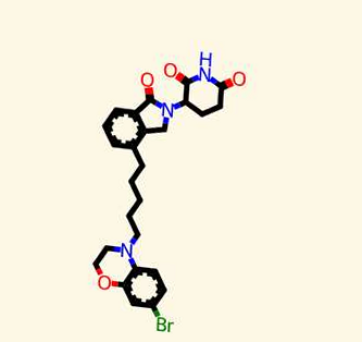 O=C1CCC(N2Cc3c(CCCCCN4CCOc5cc(Br)ccc54)cccc3C2=O)C(=O)N1